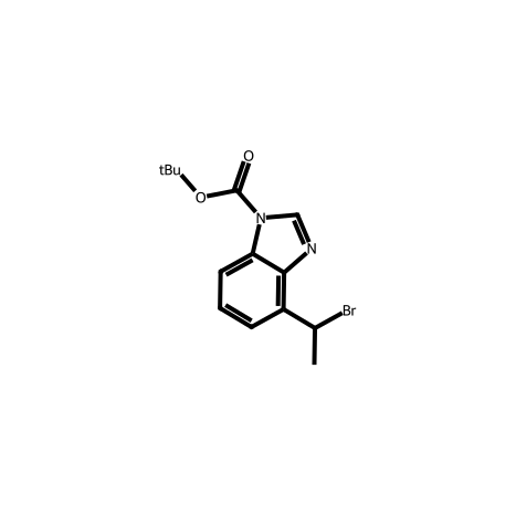 CC(Br)c1cccc2c1ncn2C(=O)OC(C)(C)C